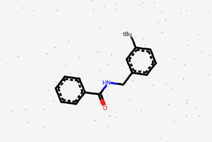 CC(C)(C)c1cccc(CNC(=O)c2ccccc2)c1